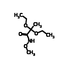 CCOC(C)(OCC)C(=O)NOC